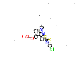 [C-]#[N+]c1c(N2CCC(C)CC2)nc(SCc2csc(-c3ccc(Cl)cc3)n2)c(C#N)c1-c1ccc(OCCO)cc1